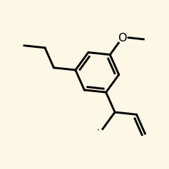 [CH2]C(C=C)c1cc(CCC)cc(OC)c1